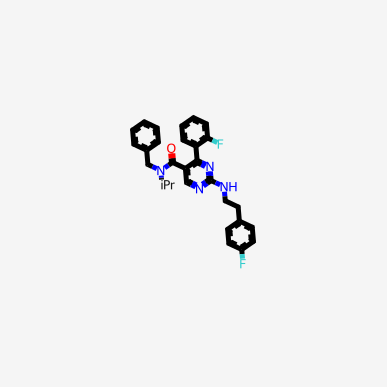 CC(C)N(Cc1ccccc1)C(=O)c1cnc(NCCc2ccc(F)cc2)nc1-c1ccccc1F